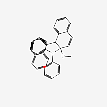 COC1(P(c2ccccc2)c2ccccc2)C=Cc2ccccc2C1c1cccc2ccccc12